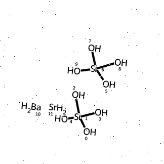 O[Si](O)(O)O.O[Si](O)(O)O.[BaH2].[SrH2]